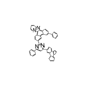 c1ccc(-c2ccc3c(c2)c2cc(-c4nc(-c5ccccc5)cc(-c5ccc6oc7ccccc7c6c5)n4)ccc2c2c3nc3ccccn32)cc1